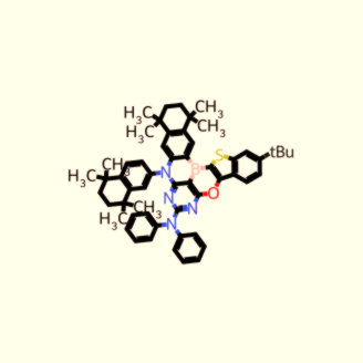 CC(C)(C)c1ccc2c3c(sc2c1)B1c2cc4c(cc2N(c2ccc5c(c2)C(C)(C)CCC5(C)C)c2nc(N(c5ccccc5)c5ccccc5)nc(c21)O3)C(C)(C)CCC4(C)C